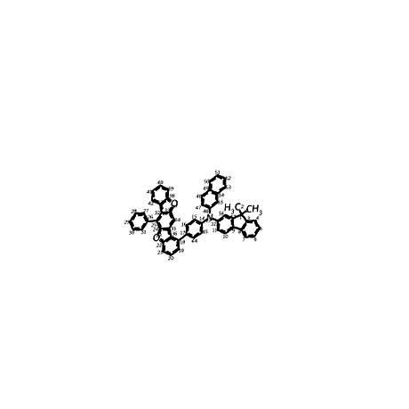 CC1(C)c2ccccc2-c2ccc(N(c3ccc(-c4cccc5oc6c(-c7ccccc7)c7c(cc6c45)oc4ccccc47)cc3)c3ccc4ccccc4c3)cc21